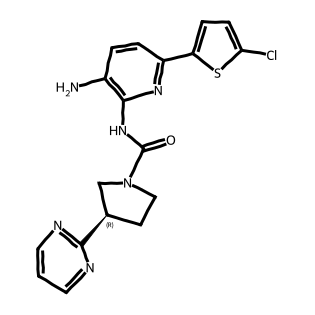 Nc1ccc(-c2ccc(Cl)s2)nc1NC(=O)N1CC[C@@H](c2ncccn2)C1